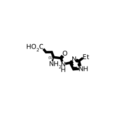 CCc1nc(NC(=O)[C@@H](N)CCC(=O)O)c[nH]1